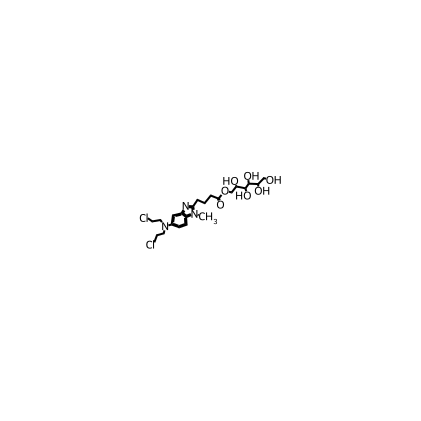 Cn1c(CCCC(=O)OCC(O)C(O)C(O)C(O)CO)nc2cc(N(CCCl)CCCl)ccc21